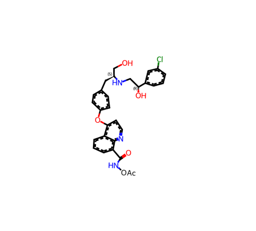 CC(=O)ONC(=O)c1cccc2c(Oc3ccc(C[C@@H](CO)NC[C@H](O)c4cccc(Cl)c4)cc3)ccnc12